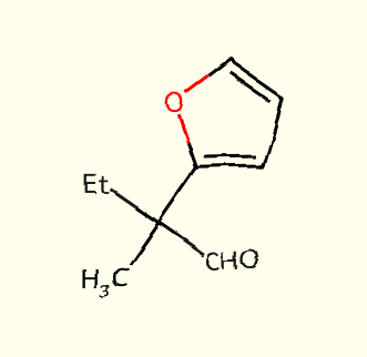 CCC(C)(C=O)c1ccco1